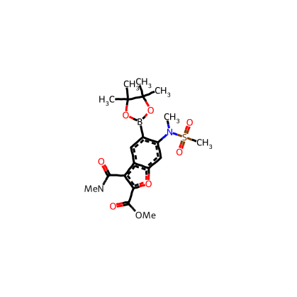 CNC(=O)c1c(C(=O)OC)oc2cc(N(C)S(C)(=O)=O)c(B3OC(C)(C)C(C)(C)O3)cc12